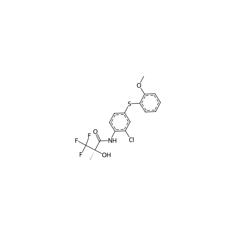 COc1ccccc1Sc1ccc(NC(=O)[C@@](C)(O)C(F)(F)F)c(Cl)c1